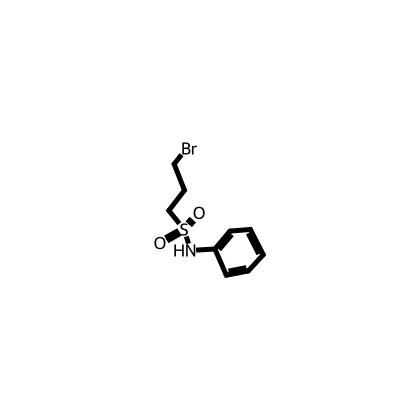 O=S(=O)(CCCBr)Nc1ccccc1